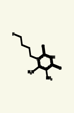 Nc1c(N)n(CCCCF)c(=O)[nH]c1=O